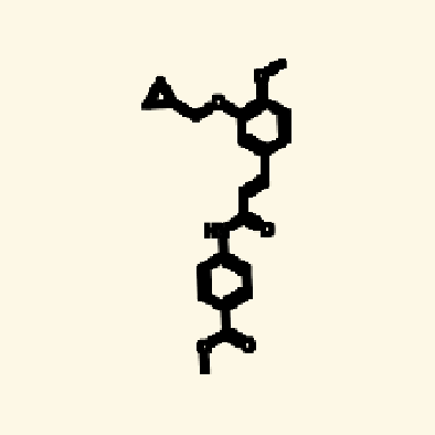 COC(=O)c1ccc(NC(=O)C=Cc2ccc(OC)c(OCC3CC3)c2)cc1